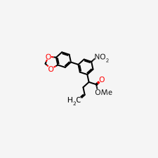 C=CCC(C(=O)OC)c1cc(-c2ccc3c(c2)OCO3)cc([N+](=O)[O-])c1